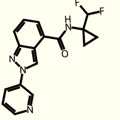 O=C(NC1(C(F)F)CC1)c1cccc2nn(-c3cccnc3)cc12